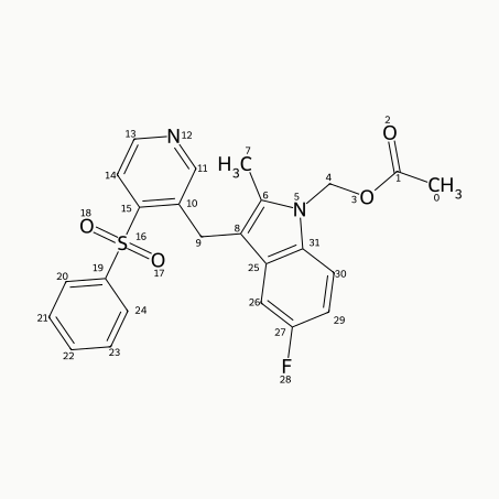 CC(=O)OCn1c(C)c(Cc2cnccc2S(=O)(=O)c2ccccc2)c2cc(F)ccc21